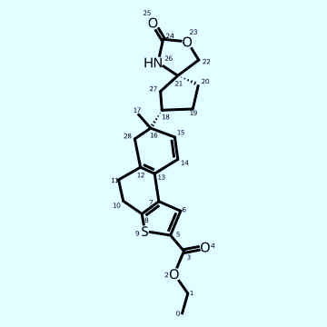 CCOC(=O)c1cc2c(s1)CCC1=C2C=CC(C)([C@H]2CC[C@]3(COC(=O)N3)C2)C1